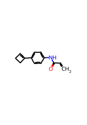 C=CC(=O)Nc1ccc(C2=CCC2)cc1